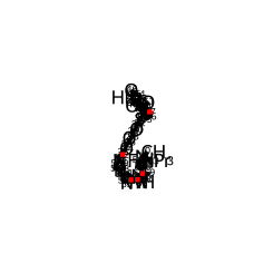 Cc1nc2c(F)cc(-c3nc(Nc4ccc(CN5CCN(CCCOCCOCCOCCSc6cccc7c6CN(C6CCC(=O)NC6=O)C7=O)CC5)cn4)ncc3F)cc2n1C(C)C